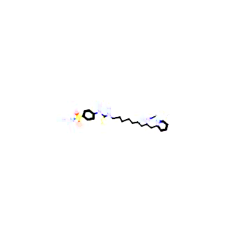 NS(=O)(=O)c1ccc(NC(=S)NCCCCCCCC(Cc2ccccn2)NCC(=O)O)cc1